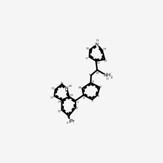 CC(C)c1cc(-c2cccc(CC(N)c3ccncc3)c2)c2ncccc2c1